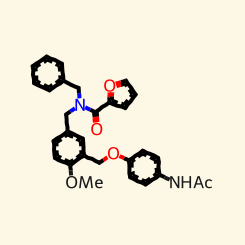 COc1ccc(CN(Cc2ccccc2)C(=O)c2ccco2)cc1COc1ccc(NC(C)=O)cc1